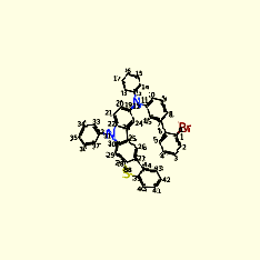 Brc1ccccc1-c1cccc(N(c2ccccc2)c2ccc3c(c2)c2cc4c(cc2n3-c2ccccc2)sc2ccccc24)c1